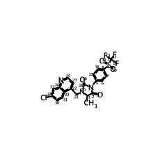 CC1C(=O)N(c2ccc(S(=O)(=O)C(F)(F)F)cc2)C(=O)N1Cc1ccnc2cc(Cl)ccc12